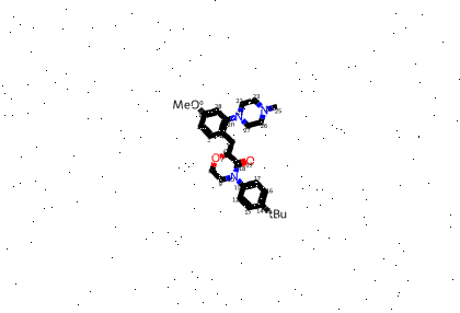 COc1ccc(CC2OCCN(c3ccc(C(C)(C)C)cc3)C2=O)c(N2CCN(C)CC2)c1